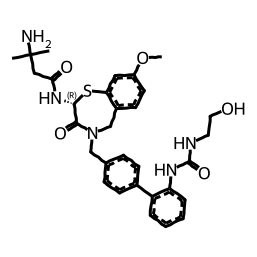 COc1ccc2c(c1)S[C@@H](NC(=O)CC(C)(C)N)C(=O)N(Cc1ccc(-c3ccccc3NC(=O)NCCO)cc1)C2